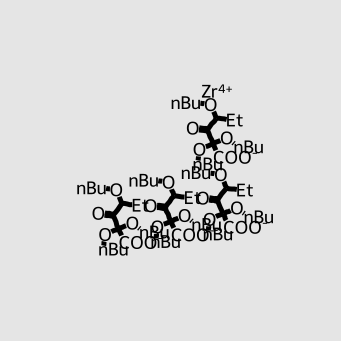 CCCCOC(CC)C(=O)C(OCCCC)(OCCCC)C(=O)[O-].CCCCOC(CC)C(=O)C(OCCCC)(OCCCC)C(=O)[O-].CCCCOC(CC)C(=O)C(OCCCC)(OCCCC)C(=O)[O-].CCCCOC(CC)C(=O)C(OCCCC)(OCCCC)C(=O)[O-].[Zr+4]